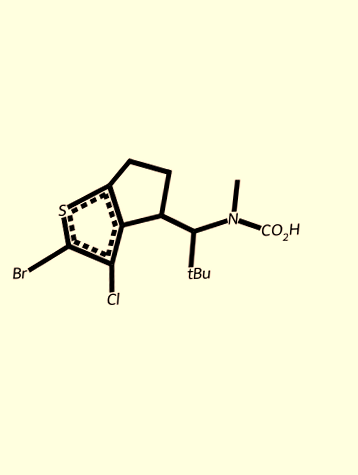 CN(C(=O)O)C(C1CCc2sc(Br)c(Cl)c21)C(C)(C)C